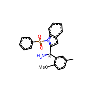 COc1ccc(C)cc1[C@@H](N)c1cc2ccccc2n1S(=O)(=O)c1ccccc1